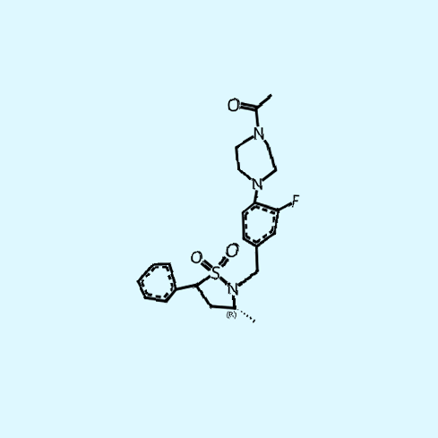 CC(=O)N1CCN(c2ccc(CN3[C@H](C)CC(c4ccccc4)S3(=O)=O)cc2F)CC1